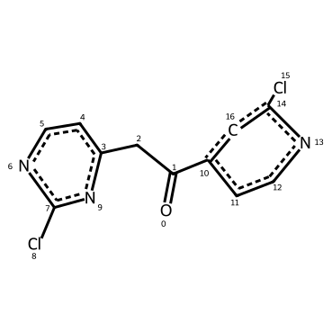 O=C(Cc1ccnc(Cl)n1)c1ccnc(Cl)c1